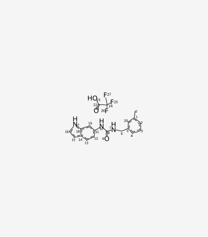 Cc1cccc(CNC(=O)Nc2ccc3cc[nH]c3c2)c1.O=C(O)C(F)(F)F